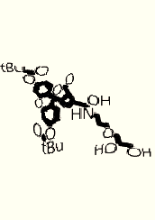 CC(C)(C)C(=O)Oc1ccc2c(c1)Oc1cc(OC(=O)C(C)(C)C)ccc1C21OC(=O)c2cc(C(O)NCCCOCC(O)CO)ccc21